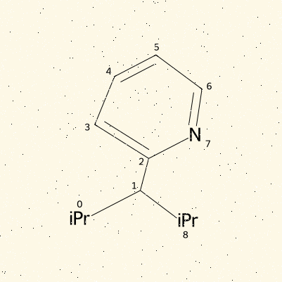 CC(C)C(c1ccccn1)C(C)C